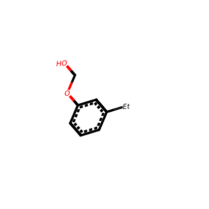 CCc1cccc(OCO)c1